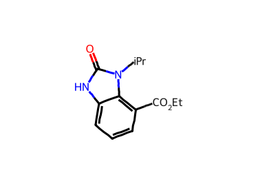 CCOC(=O)c1cccc2[nH]c(=O)n(C(C)C)c12